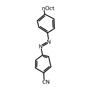 CCCCCCCCc1ccc(N=Nc2ccc(C#N)cc2)cc1